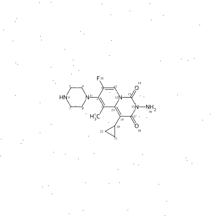 Cc1c(N2CCNCC2)c(F)cn2c(=O)n(N)c(=O)c(C3CC3)c12